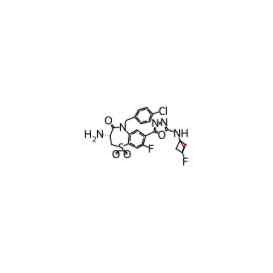 N[C@H]1CS(=O)(=O)c2cc(F)c(-c3nnc(NC45CC(F)(C4)C5)o3)cc2N(Cc2ccc(Cl)cc2)C1=O